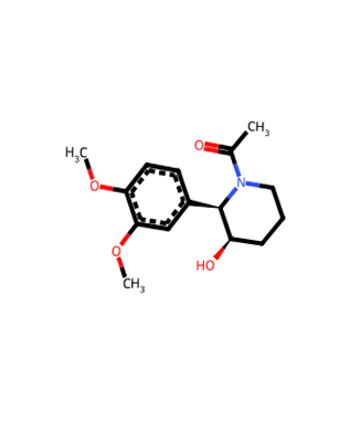 COc1ccc([C@@H]2[C@H](O)CCCN2C(C)=O)cc1OC